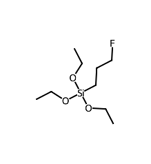 CCO[Si](CCCF)(OCC)OCC